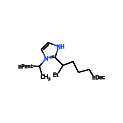 CCCCCCCCCCCCCC(CC)c1[nH]cc[n+]1C(C)CCCCC